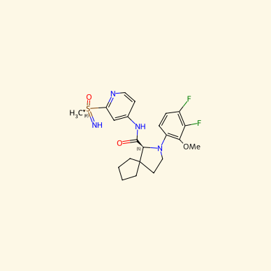 COc1c(N2CCC3(CCCC3)[C@H]2C(=O)Nc2ccnc([S@](C)(=N)=O)c2)ccc(F)c1F